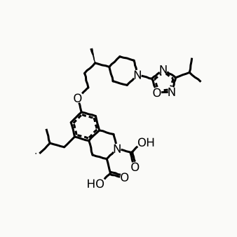 [CH2]C(C)Cc1cc(OCC[C@@H](C)C2CCN(c3nc(C(C)C)no3)CC2)cc2c1CC(C(=O)O)N(C(=O)O)C2